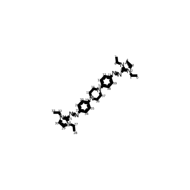 CCn1cc[n+](CC)c1N=Nc1ccc(N2CCN(c3ccc(N=Nc4n(CC)cc[n+]4CC)cc3)CC2)cc1